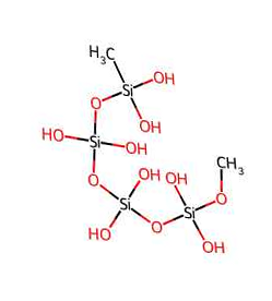 CO[Si](O)(O)O[Si](O)(O)O[Si](O)(O)O[Si](C)(O)O